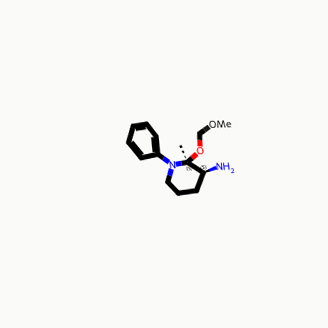 COCO[C@@]1(C)[C@@H](N)CCCN1c1ccccc1